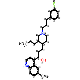 COc1ccc2nccc([C@@H](O)CCC3CCN(CCCc4cccc(F)c4)CC3CCC(=O)O)c2c1